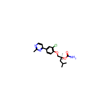 Cc1nccc(-c2ccc(OC[C@](C)(CC(C)C)OC(N)=O)c(Cl)c2)n1